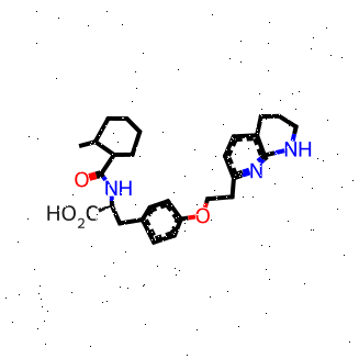 CC1CCCCC1C(=O)N[C@@H](Cc1ccc(OCCc2ccc3c(n2)NCCC3)cc1)C(=O)O